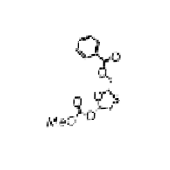 COC(=O)O[C@H]1CS[C@@H](COC(=O)c2ccccc2)O1